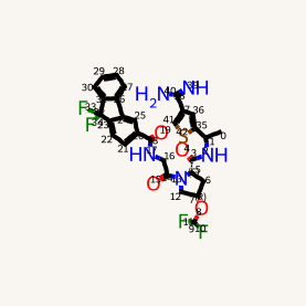 CC(NC(=O)[C@@H]1C[C@@H](OC(F)F)CN1C(=O)CNC(=O)c1ccc2c(c1)-c1ccccc1C2(F)F)c1cc(C(=N)N)cs1